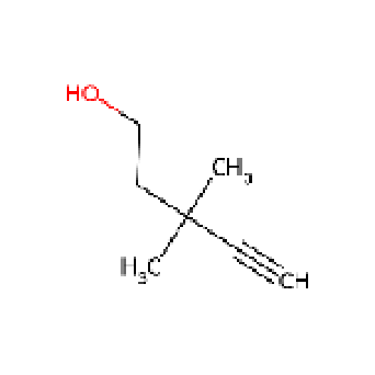 C#CC(C)(C)CCO